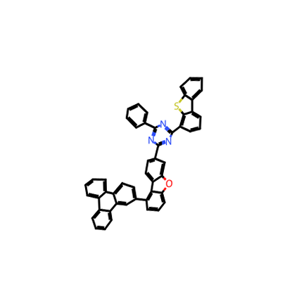 c1ccc(-c2nc(-c3ccc4c(c3)oc3cccc(-c5ccc6c7ccccc7c7ccccc7c6c5)c34)nc(-c3cccc4c3sc3ccccc34)n2)cc1